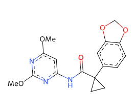 COc1cc(NC(=O)C2(c3ccc4c(c3)OCO4)CC2)nc(OC)n1